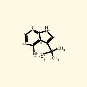 CC(C)(C)c1c[nH]c2ncnc(N)c12